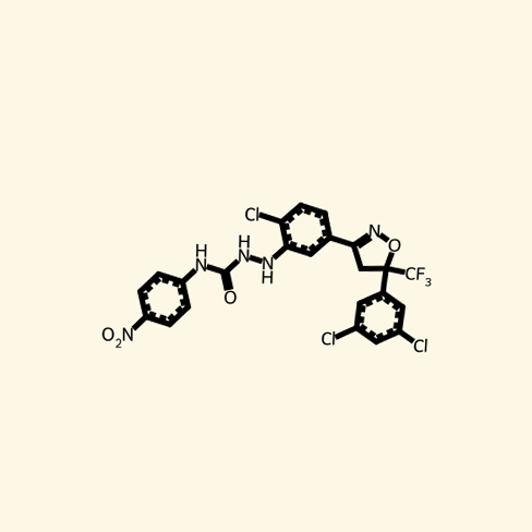 O=C(NNc1cc(C2=NOC(c3cc(Cl)cc(Cl)c3)(C(F)(F)F)C2)ccc1Cl)Nc1ccc([N+](=O)[O-])cc1